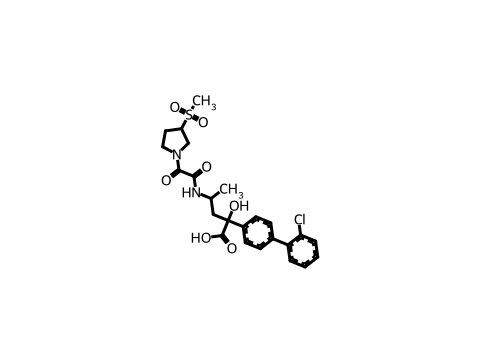 CC(CC(O)(C(=O)O)c1ccc(-c2ccccc2Cl)cc1)NC(=O)C(=O)N1CCC(S(C)(=O)=O)C1